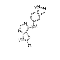 Clc1cc2c(Nc3ccc4[nH]ncc4c3)ncnc2[nH]1